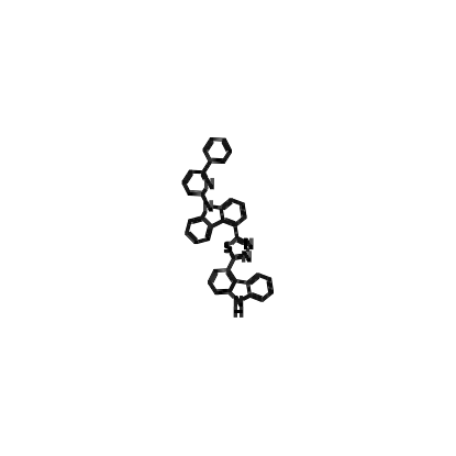 c1ccc(-c2cccc(-n3c4ccccc4c4c(-c5nnc(-c6cccc7[nH]c8ccccc8c67)s5)cccc43)n2)cc1